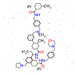 CC(C)[C@@H]1CC[C@@H](C)C[C@H]1C(=O)NCc1ccc(CN(C)Cc2cccc(C3C[C@@H](C(C)CC[C@@H]4CC[C@@H](C(C)C)[C@H](C(=O)NCc5ccc(CN6CCOCC6)cc5)C4)[C@H](C(=O)NCc4ccc(CN5CCCC5)cc4)C[C@@H]3C)c2)cc1